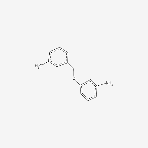 Cc1cccc(COc2cccc(N)c2)c1